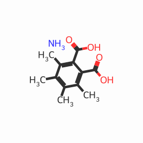 Cc1c(C)c(C)c(C(=O)O)c(C(=O)O)c1C.N